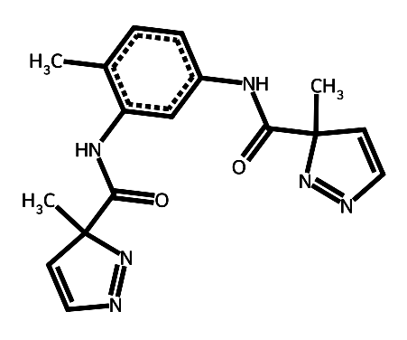 Cc1ccc(NC(=O)C2(C)C=CN=N2)cc1NC(=O)C1(C)C=CN=N1